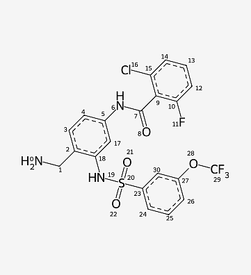 NCc1ccc(NC(=O)c2c(F)cccc2Cl)cc1NS(=O)(=O)c1cccc(OC(F)(F)F)c1